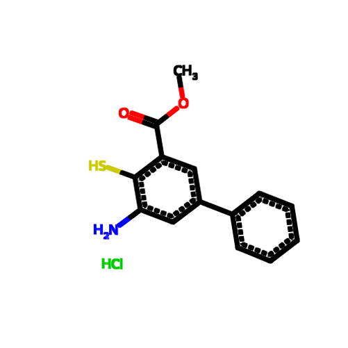 COC(=O)c1cc(-c2ccccc2)cc(N)c1S.Cl